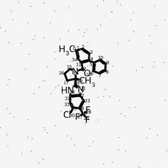 Cc1ccc(-c2ccccc2)c(C(=O)N2CCCC2(C)c2nc3cc(C(F)(F)F)c(Cl)cc3[nH]2)c1